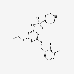 CCOc1cc(NS(=O)(=O)N2CCNCC2)nc(SCc2cccc(F)c2F)n1